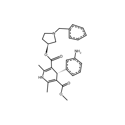 COC(=O)C1=C(C)NC(C)=C(C(=O)O[C@H]2CCN(Cc3ccccc3)C2)[C@@H]1c1cccc(N)c1